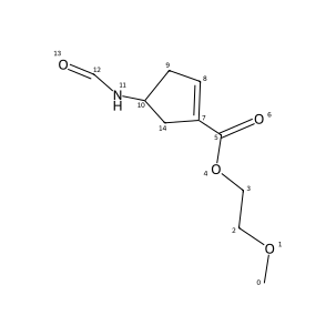 COCCOC(=O)C1=CCC(NC=O)C1